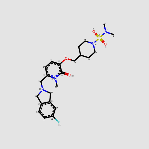 CN(C)S(=O)(=O)N1CCC(COc2ccc(CN3Cc4ccc(F)cc4C3)n(C)c2=O)CC1